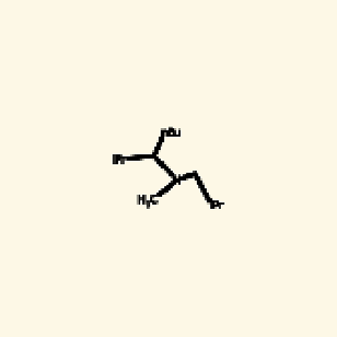 CCCCC(C(C)C)N(C)CC(C)C